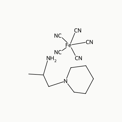 CC(N)CN1CCCCC1.N#[C][Fe]([C]#N)([C]#N)([C]#N)[C]#N